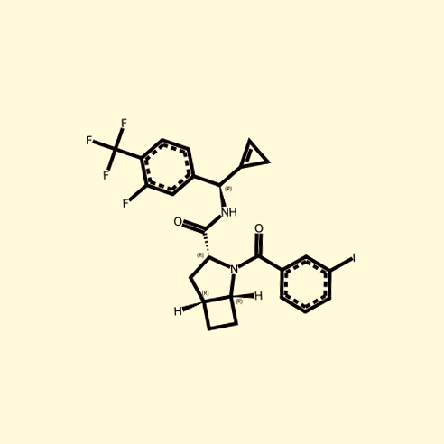 O=C(N[C@H](C1=CC1)c1ccc(C(F)(F)F)c(F)c1)[C@H]1C[C@H]2CC[C@H]2N1C(=O)c1cccc(I)c1